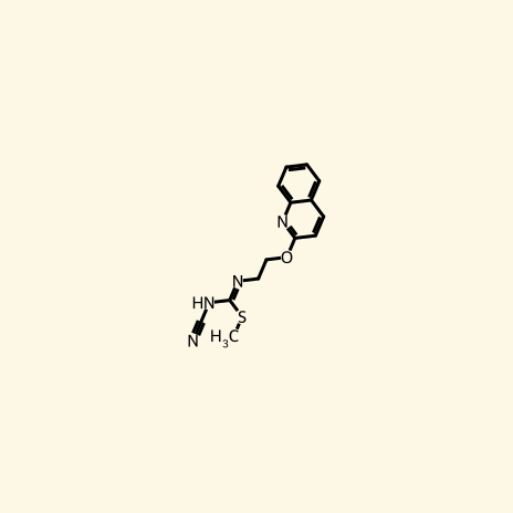 CS/C(=N\CCOc1ccc2ccccc2n1)NC#N